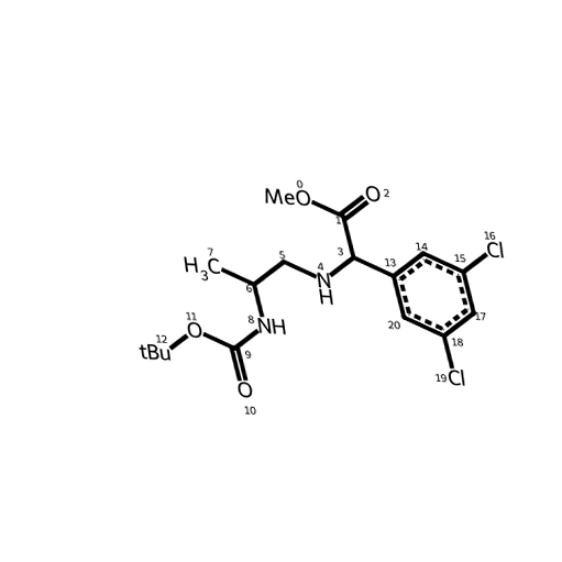 COC(=O)C(NCC(C)NC(=O)OC(C)(C)C)c1cc(Cl)cc(Cl)c1